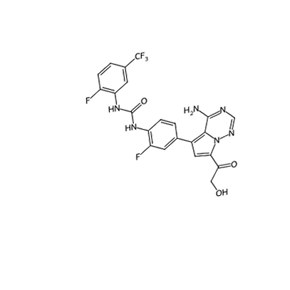 Nc1ncnn2c(C(=O)CO)cc(-c3ccc(NC(=O)Nc4cc(C(F)(F)F)ccc4F)c(F)c3)c12